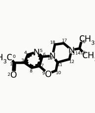 CC(=O)c1cnc2c(c1)OCC1CN(C(C)C)CCN21